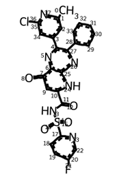 Cc1cc(-c2nc3c(=O)cc(C(=O)NS(=O)(=O)c4ccc(F)cn4)[nH]c3nc2-c2ccccc2)cc(Cl)n1